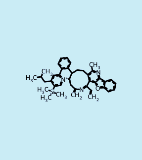 C=C/C1=N/C(=C)CC2C(CCc3c(C)nc4c(oc5ccccc54)c31)c1ccccc1-c1cc(CC(C)C)c([Si](C)(C)C)c[n+]12